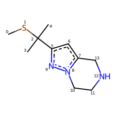 CSC(C)(C)c1cc2n(n1)CCNC2